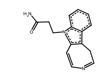 NC(=O)CCn1c2c(c3ccccc31)CC=NC=C2